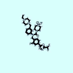 CCN1CCN(Cc2cccc(N(Cc3ccc(-c4nnc(C(F)F)o4)cc3F)C(=O)N3CCS(=O)(=O)CC3)c2)CC1